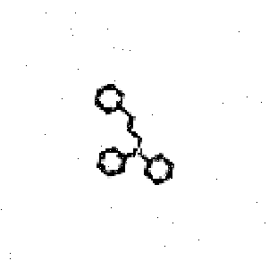 C(=Cc1ccccc1)CN(c1ccccc1)c1ccccc1